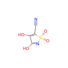 N#CC1=C(O)C(O)=NS1(=O)=O